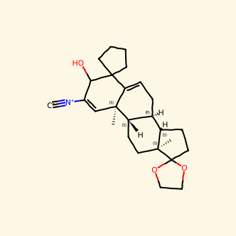 [C-]#[N+]C1=C[C@@]2(C)C(=CC[C@@H]3[C@@H]2CC[C@@]2(C)[C@H]3CCC23OCCO3)C2(CCCC2)C1O